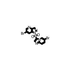 O=S(=O)(c1cnc2ccc(Br)cn12)n1ncc2ncc(Br)cc21